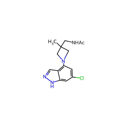 CC(=O)NCC1(C)CN(c2cc(Cl)cc3[nH]ncc23)C1